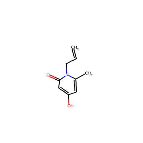 C=CCn1c(C)cc(O)cc1=O